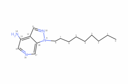 CCCCCCCCCn1ncc2c(N)cncc21